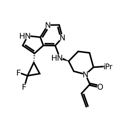 C=CC(=O)N1C[C@@H](Nc2ncnc3[nH]cc([C@@H]4CC4(F)F)c23)CCC1C(C)C